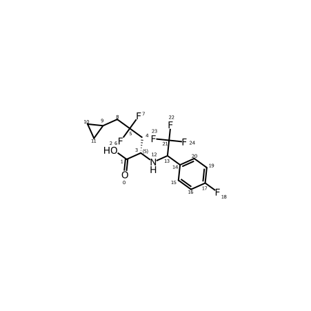 O=C(O)[C@H](CC(F)(F)CC1CC1)NC(c1ccc(F)cc1)C(F)(F)F